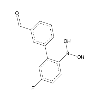 O=Cc1cccc(-c2cc(F)ccc2B(O)O)c1